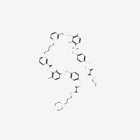 O=C(NCCO)C(=O)NNc1ccc(NS(=O)(=O)c2ccc(Cl)c(NOCc3ccc[n+](CCCC[n+]4cccc(C(=O)Nc5c(Cl)ccc(S(=O)(=O)Nc6ccc(NNC(=O)C(=O)NCCCN7CCOCC7)cc6)c5Cl)c4)c3)c2Cl)cc1